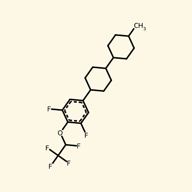 CC1CCC(C2CCC(c3cc(F)c(OC(F)C(F)(F)F)c(F)c3)CC2)CC1